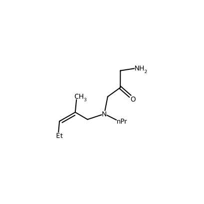 CCC=C(C)CN(CCC)CC(=O)CN